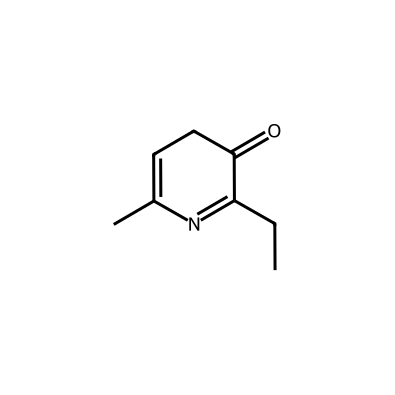 CCC1=NC(C)=CCC1=O